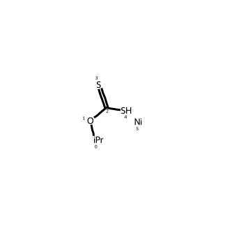 CC(C)OC(=S)S.[Ni]